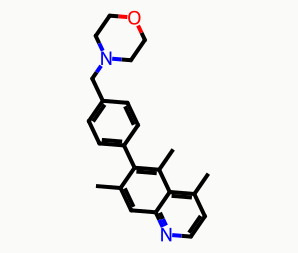 Cc1cc2nccc(C)c2c(C)c1-c1ccc(CN2CCOCC2)cc1